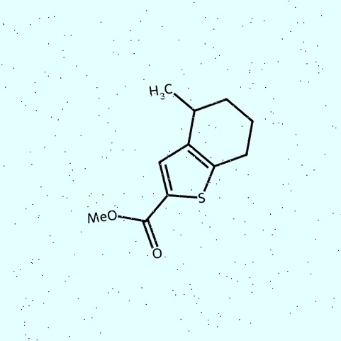 COC(=O)c1cc2c(s1)CCCC2C